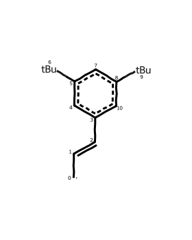 [CH2]/C=C/c1cc(C(C)(C)C)cc(C(C)(C)C)c1